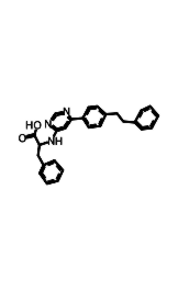 O=C(O)C(Cc1ccccc1)Nc1cc(-c2ccc(CCc3ccccc3)cc2)ncn1